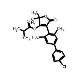 Cc1cc(-c2ccc(Cl)cc2)cc(C)c1C1=C(OC(=O)C(C)C)C(C)(C)OC1=O